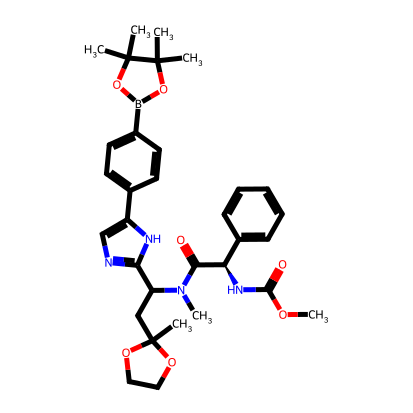 COC(=O)N[C@@H](C(=O)N(C)C(CC1(C)OCCO1)c1ncc(-c2ccc(B3OC(C)(C)C(C)(C)O3)cc2)[nH]1)c1ccccc1